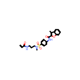 C=CC(=O)NCCCN(C)S(=O)(=O)c1ccc(NC(=O)c2oc3ccccc3c2C)cc1